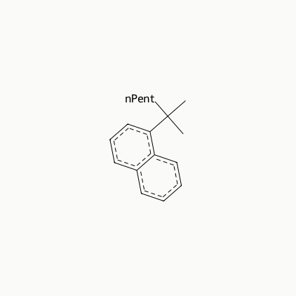 CCCCCC(C)(C)c1cccc2ccccc12